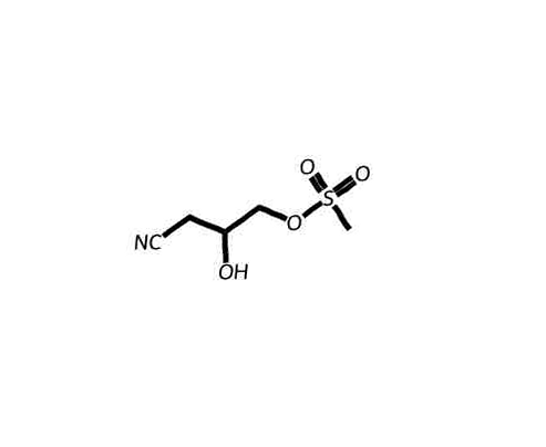 CS(=O)(=O)OCC(O)CC#N